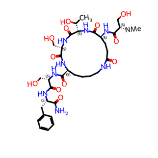 CN[C@@H](CO)C(=O)N[C@H]1CCC(=O)NCCCC[C@@H](C(=O)N[C@@H](CO)C(=O)N[C@@H](Cc2ccccc2)C(N)=O)NC(=O)[C@H](CO)NC(=O)[C@H](C(C)O)NC1=O